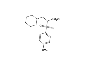 CCOC(=O)C(CC1CCCCC1)S(=O)(=O)c1ccc(OC)cc1